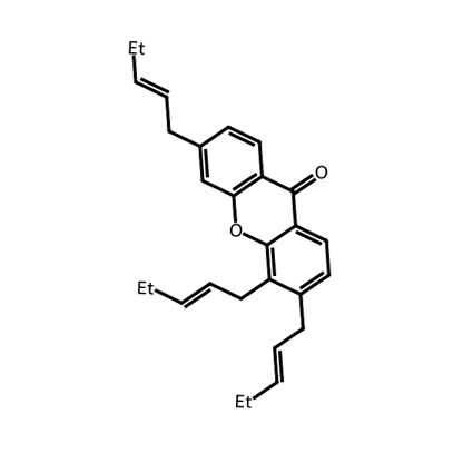 CCC=CCc1ccc2c(=O)c3ccc(CC=CCC)c(CC=CCC)c3oc2c1